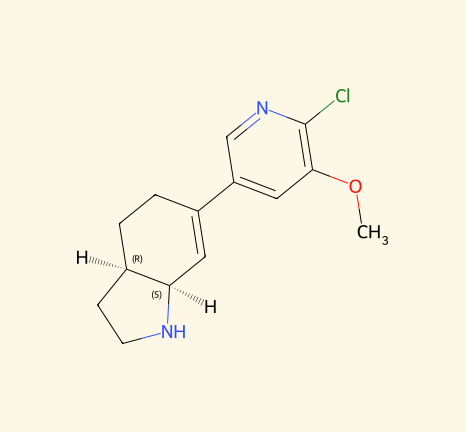 COc1cc(C2=C[C@H]3NCC[C@H]3CC2)cnc1Cl